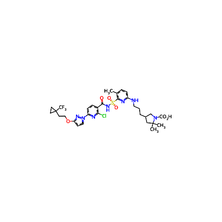 Cc1ccc(NCCCC2CN(C(=O)O)C(C)(C)C2)nc1S(=O)(=O)NC(=O)c1ccc(-n2ccc(OCCC3(C(F)(F)F)CC3)n2)nc1Cl